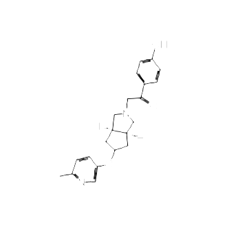 Cc1ccc(OC2C[C@@H]3CN(CC(=O)c4ccc(O)cc4)C[C@@H]3C2)cn1